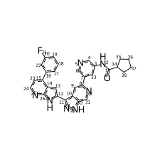 O=C(Nc1cncc(-c2cc3c(-c4cc5c(-c6cccc(F)c6)ccnc5[nH]4)n[nH]c3cn2)c1)C1CCCC1